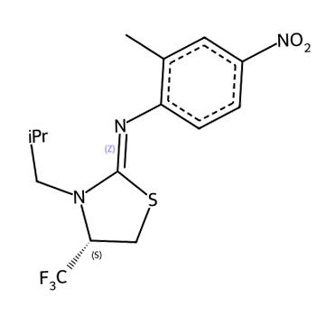 Cc1cc([N+](=O)[O-])ccc1/N=C1\SC[C@H](C(F)(F)F)N1CC(C)C